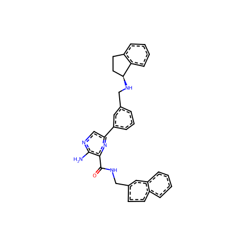 Nc1ncc(-c2cccc(CN[C@H]3CCc4ccccc43)c2)nc1C(=O)NCc1ccc2ccccc2c1